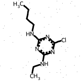 CCCCNc1nc(Cl)nc(NCC)n1